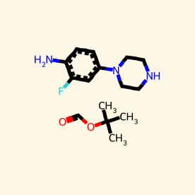 CC(C)(C)OC=O.Nc1ccc(N2CCNCC2)cc1F